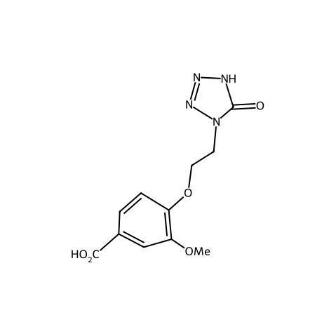 COc1cc(C(=O)O)ccc1OCCn1nn[nH]c1=O